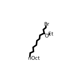 CCCCCCCCCCCCCCCC(CCBr)OCC